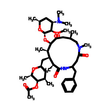 CO[C@H]1[C@H](O[C@@H]2[C@@H](C)[C@H](C[C@H]3C[C@H](C)[C@@H](OC(C)=O)[C@H](C)O3)[C@@H](C)C(=O)NC(Cc3ccccc3)CC(=O)N(C)C[C@H](C)C[C@H]2O)O[C@H](C)C[C@@H]1N(C)C